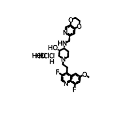 COc1cc(F)c2ncc(F)c(CCN3CC[C@H](NCc4cc5c(cn4)OCCO5)[C@H](O)C3)c2c1.Cl.Cl.Cl.Cl